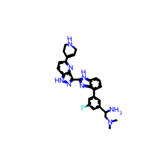 CN(C)CC(N)c1cc(F)cc(-c2cccc3[nH]c(-c4n[nH]c5ccc(C6=CCNCC6)nc45)nc23)c1